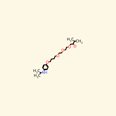 CC(C)Nc1ccc(OCCCCOCCOCCOCC(=O)C(C)C)cc1